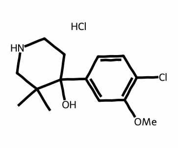 COc1cc(C2(O)CCNCC2(C)C)ccc1Cl.Cl